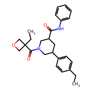 CCc1ccc(C2CC(C(=O)Nc3ccccc3)CN(C(=O)C3(CC)COC3)C2)cc1